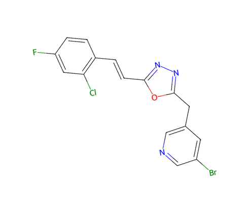 Fc1ccc(/C=C/c2nnc(Cc3cncc(Br)c3)o2)c(Cl)c1